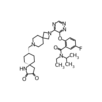 CCN(C(=O)c1cc(F)ccc1Oc1nncnc1N1CC2(CCN(C[C@H]3CC[C@]4(CC3)CC(=O)C(=O)N4)CC2)C1)C(C)C